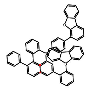 c1ccc(-c2ccccc2-c2ccccc2N(c2ccc(-c3cccc4c3oc3ccccc34)cc2)c2cccc(-c3ccccc3-n3c4ccccc4c4ccccc43)c2)cc1